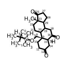 CC(C)(C)[Si](C)(C)OC[C@]12CCC(=O)C[C@@H]1C(=O)CC1C2CC[C@]2(C)C(=O)CCC12